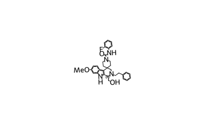 COc1ccc2c3c([nH]c2c1)[C@H](CO)N(CCc1ccccc1)CC31CCN(C(=O)Nc2ccccc2F)CC1